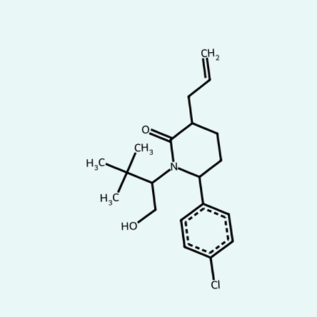 C=CCC1CCC(c2ccc(Cl)cc2)N(C(CO)C(C)(C)C)C1=O